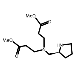 COC(=O)CCN(CCC(=O)OC)C[C@@H]1CCCN1